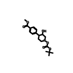 COC(=O)c1ccc(C2CCN(OC(=O)OC(C)(C)C)CC2O)cc1